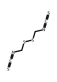 S=C=NCSSCN=C=S